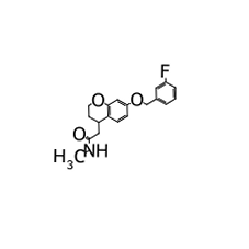 CNC(=O)CC1CCOc2cc(OCc3cccc(F)c3)ccc21